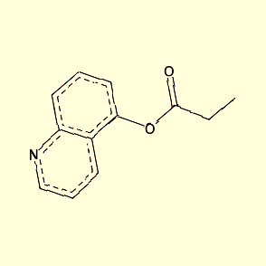 CCC(=O)Oc1cccc2ncccc12